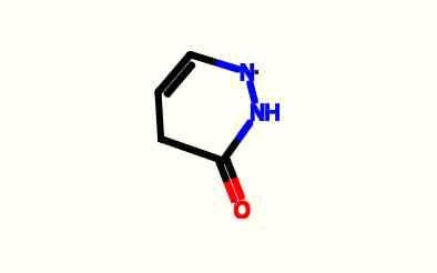 O=C1CC=C[N]N1